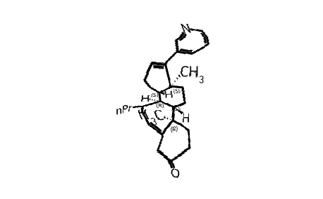 CCCC1C=C2CC(=O)CC[C@]2(C)[C@H]2CC[C@]3(C)C(c4cccnc4)=CC[C@H]3[C@H]12